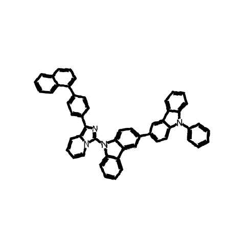 c1ccc(-n2c3ccccc3c3cc(-c4ccc5c(c4)c4ccccc4n5-c4nc(-c5ccc(-c6cccc7ccccc67)cc5)c5ccccn45)ccc32)cc1